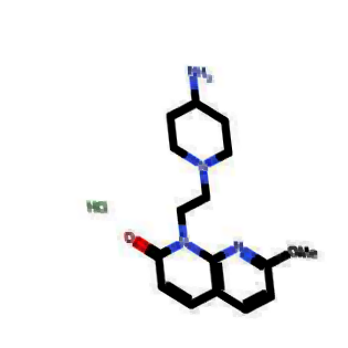 COc1ccc2ccc(=O)n(CCN3CCC(N)CC3)c2n1.Cl